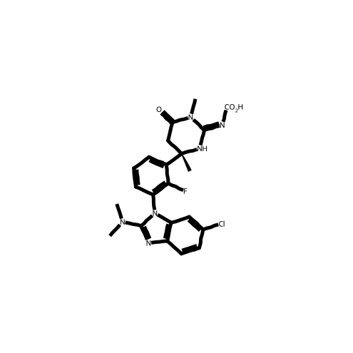 CN1C(=O)C[C@@](C)(c2cccc(-n3c(N(C)C)nc4ccc(Cl)cc43)c2F)N/C1=N/C(=O)O